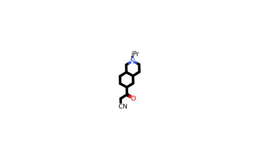 CC(C)N1CCC2CC(C(=O)CC#N)CCC2C1